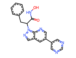 O=C(NO)C(Cc1ccccc1)n1ncc2cc(-c3cncnc3)cnc21